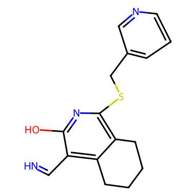 N=Cc1c(O)nc(SCc2cccnc2)c2c1CCCC2